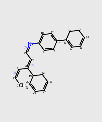 C\C=C/C(=C\C=N/c1ccc(C2=CC=CCC2)cc1)C1C=CC=CC1